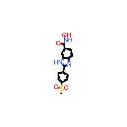 CS(=O)(=O)c1ccc(-c2nc3ccc(C(=O)NO)cc3[nH]2)cc1